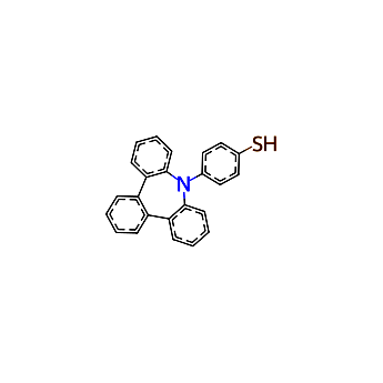 Sc1ccc(N2c3ccccc3-c3ccccc3-c3ccccc32)cc1